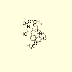 COCCC[N+]1(CO[C@H]2CN(C(=O)[O-])C[C@@H](O)[C@@H]2c2ccc(OC)cc2)CCOc2ccccc21